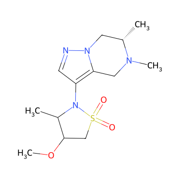 COC1CS(=O)(=O)N(c2cnn3c2CN(C)[C@@H](C)C3)C1C